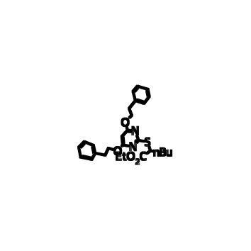 CCCCC(Sc1nc(OCCc2ccccc2)cc(OCCc2ccccc2)n1)C(=O)OCC